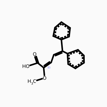 CO/C(=C/C=C(c1ccccc1)c1ccccc1)C(=O)O